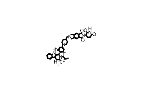 C[C@@H]1Cc2c([nH]c3ccccc23)[C@@H](c2c(F)cc(N3CCC(CN4Cc5cc6c(cc5C4)C(=O)N(C4CCC(=O)NC4=O)C6=O)CC3)cc2F)N1CC(F)F